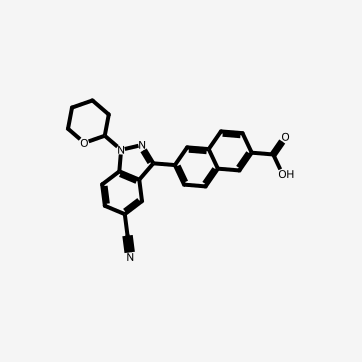 N#Cc1ccc2c(c1)c(-c1ccc3cc(C(=O)O)ccc3c1)nn2C1CCCCO1